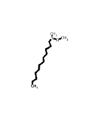 CCCCCCCCCCCCN(C)OC